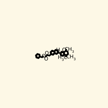 CC1(C)CCC(C)(C)c2cc(-c3ccc4ccc(CC(=O)C(=O)OCc5ccccc5)cc4c3)ccc21